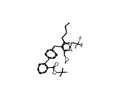 CCCCc1c(Cc2ccc(-c3ccccc3C(=O)OC(C)(C)C)cc2)c(COC)nn1CC(F)(F)F